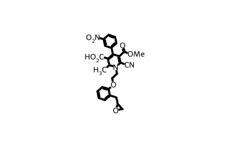 COC(=O)C1=C(C#N)N(CCOc2ccccc2CC2CO2)C(C)C(C(=O)O)=C1c1cccc([N+](=O)[O-])c1